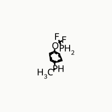 CPc1ccc(OC(F)(F)P)cc1